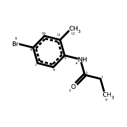 CCC(=O)Nc1ccc(Br)cc1C